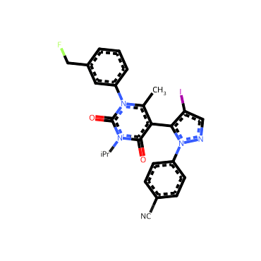 Cc1c(-c2c(I)cnn2-c2ccc(C#N)cc2)c(=O)n(C(C)C)c(=O)n1-c1cccc(CF)c1